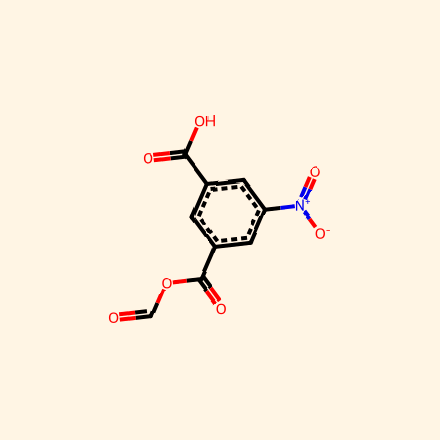 O=COC(=O)c1cc(C(=O)O)cc([N+](=O)[O-])c1